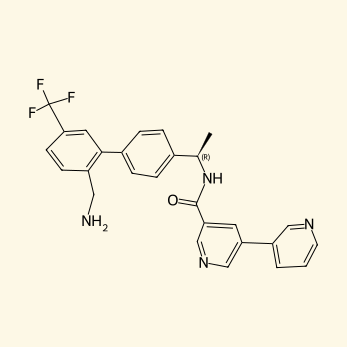 C[C@@H](NC(=O)c1cncc(-c2cccnc2)c1)c1ccc(-c2cc(C(F)(F)F)ccc2CN)cc1